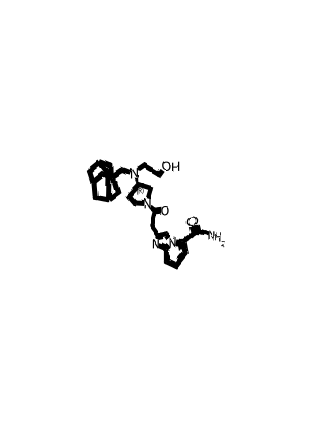 NC(=O)c1cccc2nc(CC(=O)N3CC[C@@H](N(CCO)CC45CC6CC(CC(C6)C4)C5)C3)cn12